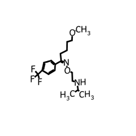 COCCCC/C(=N/OCCNC(C)C)c1ccc(C(F)(F)F)cc1